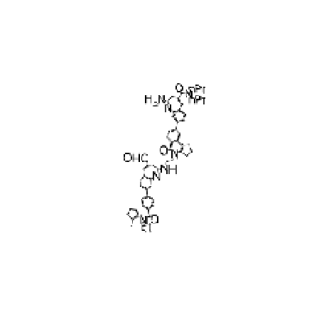 CCCN(CCC)C(=O)C1=Cc2ccc(-c3ccc4c(=O)n(CCNC5=Nc6cc(-c7ccc(C(=O)N(CC)C8=C(C)CCC8)cc7)ccc6C=C(C=O)C5)c5c(c4c3)CCC5)cc2N=C(N)C1